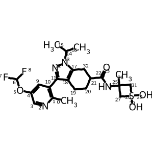 Cc1ncc(OC(F)F)cc1-c1nn(C(C)C)c2c1CCC(C(=O)NC1(C)CS(O)(O)C1)C2